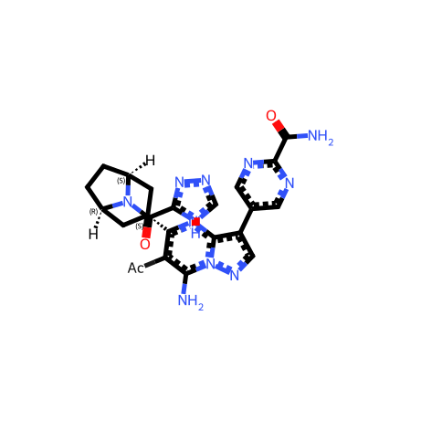 CC(=O)c1c([C@@H]2C[C@H]3CC[C@@H](C2)N3C(=O)c2nnc[nH]2)nc2c(-c3cnc(C(N)=O)nc3)cnn2c1N